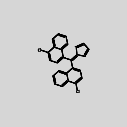 Clc1ccc(C(=C2[C]=CC=C2)c2ccc(Cl)c3ccccc23)c2ccccc12